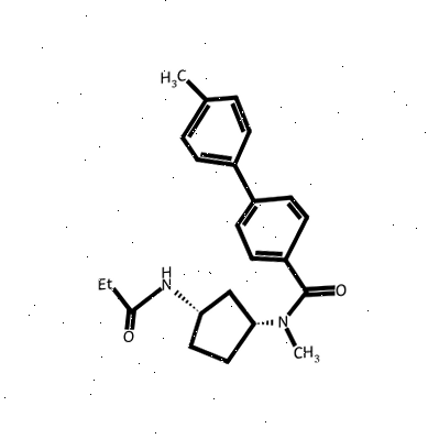 CCC(=O)N[C@H]1CC[C@@H](N(C)C(=O)c2ccc(-c3ccc(C)cc3)cc2)C1